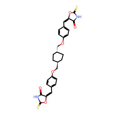 O=C1NC(=S)O/C1=C/c1ccc(OC[C@H]2CC[C@H](COc3ccc(/C=C4/OC(=S)NC4=O)cc3)CC2)cc1